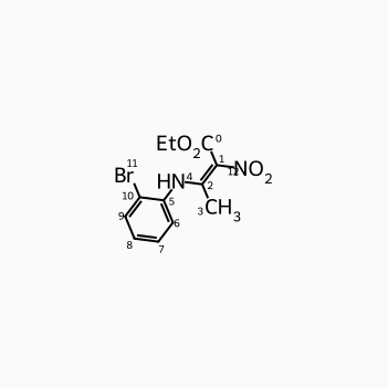 CCOC(=O)/C(=C(/C)Nc1ccccc1Br)[N+](=O)[O-]